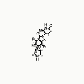 O=C1CCC(N2Cc3c(F)c(N4C5CCC4CNC5)c(F)c(F)c3C2=O)C(=O)N1